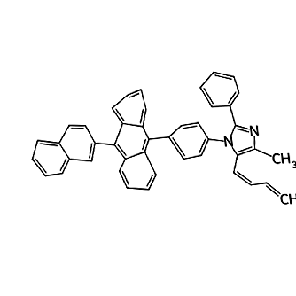 C=C/C=C\c1c(C)nc(-c2ccccc2)n1-c1ccc(-c2c3ccccc3c(-c3ccc4ccccc4c3)c3ccccc23)cc1